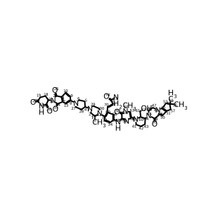 C[C@H]1CN(C2CCN(c3ccc4c(c3)C(=O)N(C3CCC(=O)NC3=O)C4=O)CC2)CCN1c1ccc(Nc2nc(N3CCCC(N4CCn5c(cc6c5CC(C)(C)C6)C4=O)C3CO)cn(C)c2=O)cc1C=CC(N)=O